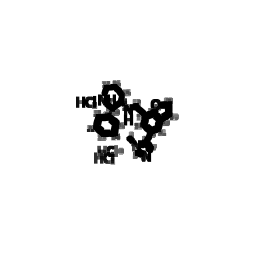 Cl.Cl.Cl.Cn1cncc1-c1cc(CN[C@H]2CCCN[C@H]2c2ccccc2)c2occc2c1